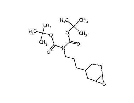 CC(C)(C)OC(=O)N(CCCC1CCC2OC2C1)C(=O)OC(C)(C)C